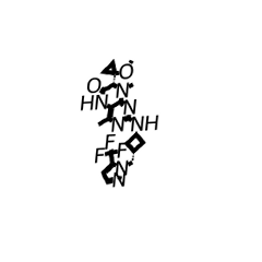 COC1([C@H]2C(=O)Nc3c(C)nc(N[C@H]4C[C@@H](Cn5nccc5C(F)(F)F)C4)nc3N2C)CC1